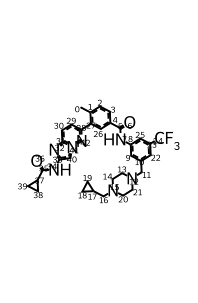 Cc1ccc(C(=O)Nc2cc(CN3CCN(CC4CC4)CC3)cc(C(F)(F)F)c2)cc1-c1ccc2nc(NC(=O)C3CC3)cn2n1